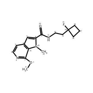 COc1nccc2cc(C(=O)NCCC3(F)CCC3)n(C)c12